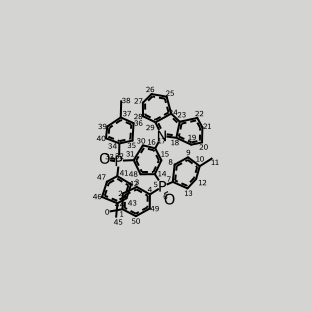 Cc1ccc(P(=O)(c2ccc(C)cc2)c2cc(-n3c4ccccc4c4ccccc43)cc(P(=O)(c3ccc(C)cc3)c3ccc(C)cc3)c2)cc1